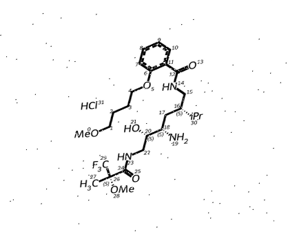 COCCCCOc1ccccc1C(=O)NC[C@@H](C[C@H](N)[C@@H](O)CNC(=O)[C@](C)(OC)C(F)(F)F)C(C)C.Cl